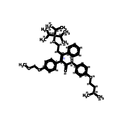 COCOc1ccc(/C(C(=O)Nc2ccc(OCCN(C)C)cc2)=C(\CCO[Si](C(C)C)(C(C)C)C(C)C)c2ccccc2)cc1